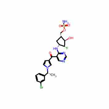 C[C@H](c1cccc(Br)c1)n1ccc(C(=O)c2cncnc2N[C@@H]2C[C@H](COS(N)(=O)=O)[C@@H](O)[C@@H]2F)c1